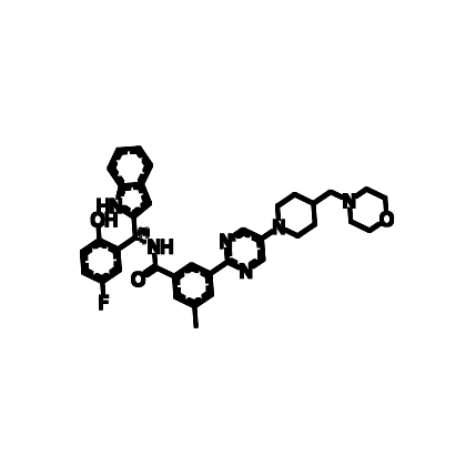 Cc1cc(C(=O)N[C@@H](c2cc3ccccc3[nH]2)c2cc(F)ccc2O)cc(-c2ncc(N3CCC(CN4CCOCC4)CC3)cn2)c1